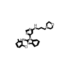 Cc1cccc(Cl)c1Nc1nc2ccccc2n1-c1cc(NCCCN2CCOCC2)ncn1